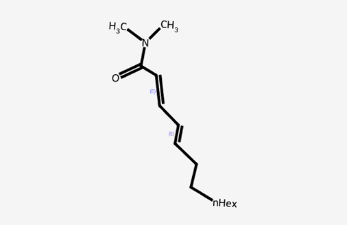 CCCCCCCC/C=C/C=C/C(=O)N(C)C